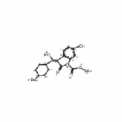 CCCCC1CCC(C(O)=C2C(=O)N(C(=O)OC(C)(C)C)c3cc(Cl)ccc32)CC1